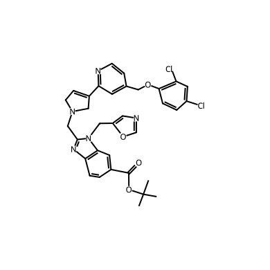 CC(C)(C)OC(=O)c1ccc2nc(CN3CC=C(c4cc(COc5ccc(Cl)cc5Cl)ccn4)C3)n(Cc3cnco3)c2c1